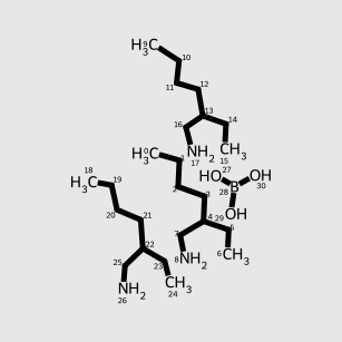 CCCCC(CC)CN.CCCCC(CC)CN.CCCCC(CC)CN.OB(O)O